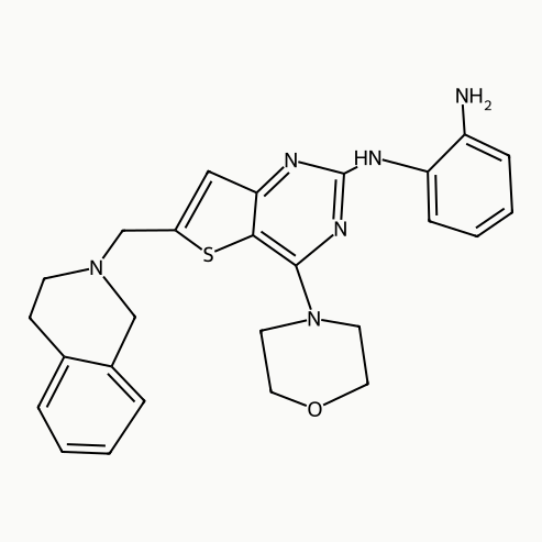 Nc1ccccc1Nc1nc(N2CCOCC2)c2sc(CN3CCc4ccccc4C3)cc2n1